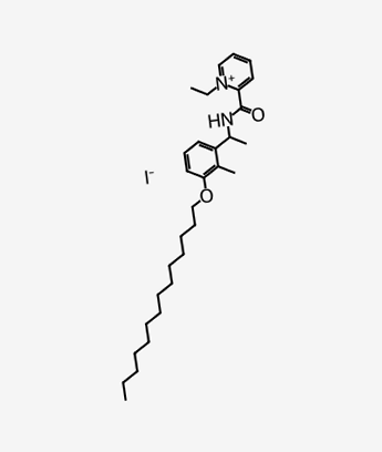 CCCCCCCCCCCCCCOc1cccc(C(C)NC(=O)c2cccc[n+]2CC)c1C.[I-]